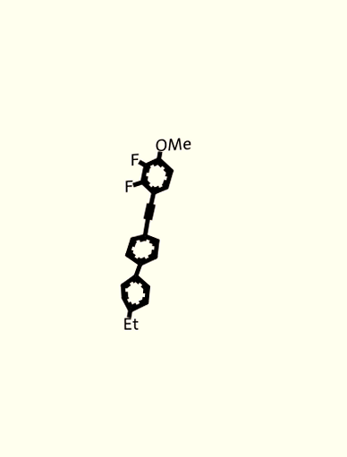 CCc1ccc(-c2ccc(C#Cc3ccc(OC)c(F)c3F)cc2)cc1